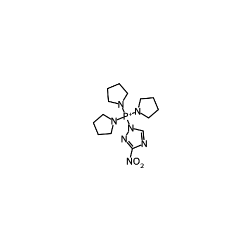 O=[N+]([O-])c1ncn([P+](N2CCCC2)(N2CCCC2)N2CCCC2)n1